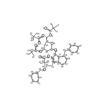 CC(C)(C)C(=O)OC[C@H]1O[C@@H](Oc2nn(CCOCc3ccccc3)c3cccc(Cc4ccccc4)c23)[C@H](OC(=O)C(C)(C)C)[C@@H](OC(=O)C(C)(C)C)[C@@H]1OC(=O)C(C)(C)C